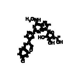 CNc1nc(-n2cc(N(C=O)Cc3ccc(Cl)cc3)cn2)nc2c1ncn2[C@@H]1O[C@H](CO)[C@@H](O)[C@H]1O